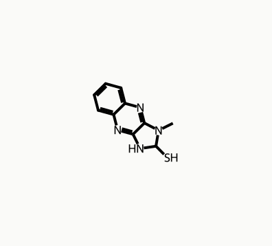 CN1c2nc3ccccc3nc2NC1S